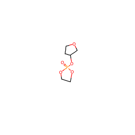 O=P1(OC2CCOC2)OCCO1